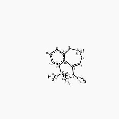 CC(C)C1=CCNCc2cccc(C(C)C)c21